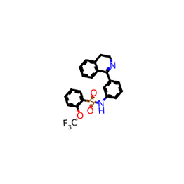 O=S(=O)(Nc1cccc(C2=NCCc3ccccc32)c1)c1ccccc1OC(F)(F)F